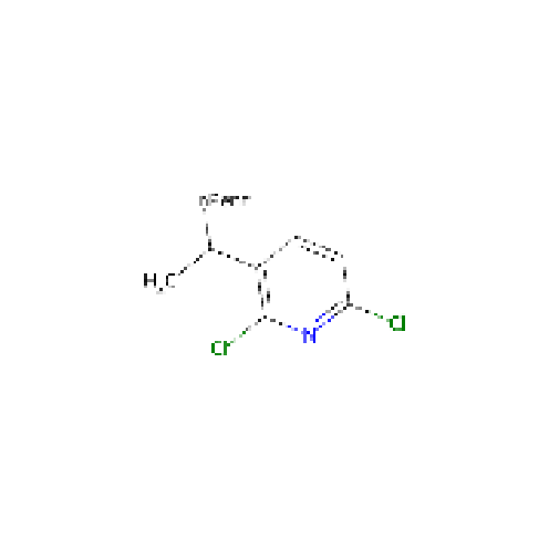 CCCCCC(C)c1ccc(Cl)nc1Cl